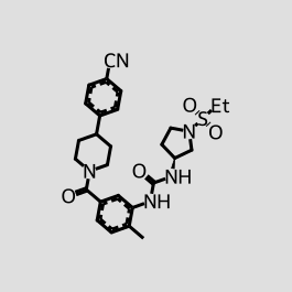 CCS(=O)(=O)N1CC[C@H](NC(=O)Nc2cc(C(=O)N3CCC(c4ccc(C#N)cc4)CC3)ccc2C)C1